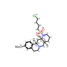 COc1ccc2c(c1)CCN1C[C@H]3CCCN(S(=O)(=O)CCCCCl)[C@H]3C[C@@H]21